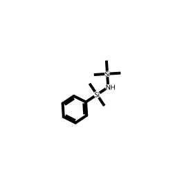 C[Si](C)(C)N[Si](C)(C)c1ccccc1